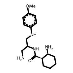 COc1ccc(NCC(CN)NC(=O)[C@@H]2CCCC[C@@H]2N)cc1